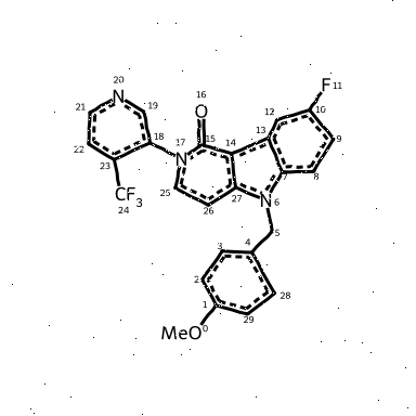 COc1ccc(Cn2c3ccc(F)cc3c3c(=O)n(-c4cnccc4C(F)(F)F)ccc32)cc1